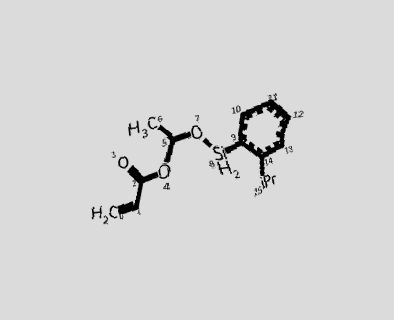 C=CC(=O)OC(C)O[SiH2]c1ccccc1C(C)C